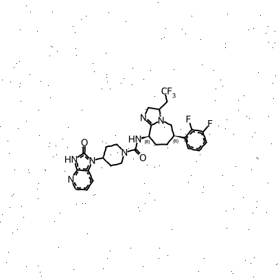 O=C(N[C@@H]1CC[C@H](c2cccc(F)c2F)CN2C1=NCC2CC(F)(F)F)N1CCC(n2c(=O)[nH]c3ncccc32)CC1